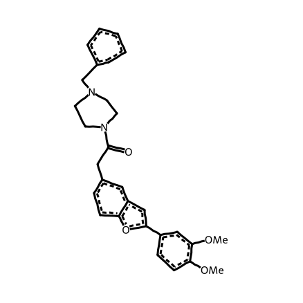 COc1ccc(-c2cc3cc(CC(=O)N4CCN(Cc5ccccc5)CC4)ccc3o2)cc1OC